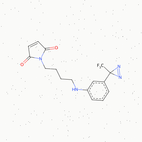 O=C1C=CC(=O)N1CCCCNc1cccc(C2(C(F)(F)F)N=N2)c1